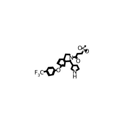 CS(=O)(=O)CCC(=O)N1CCc2ccc(Oc3ccc(C(F)(F)F)cc3)cc2C1C1CCNC1